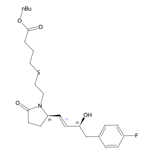 CCCCOC(=O)CCCSCCN1C(=O)CC[C@@H]1/C=C/[C@@H](O)Cc1ccc(F)cc1